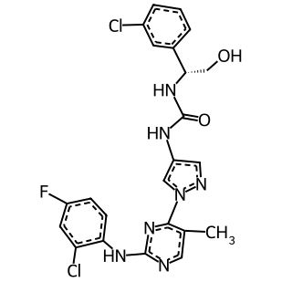 Cc1cnc(Nc2ccc(F)cc2Cl)nc1-n1cc(NC(=O)N[C@@H](CO)c2cccc(Cl)c2)cn1